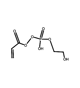 C=CC(=O)OOP(=O)(O)OCCO